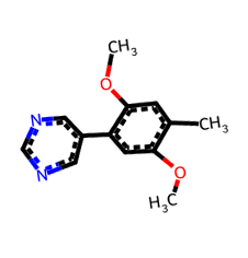 COc1cc(-c2cncnc2)c(OC)cc1C